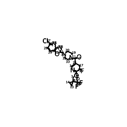 O=C(C1=CN=C(OCC2(C(F)(F)F)CC2)C(F)C1)N1CCN(c2nc3nc(Cl)ccc3o2)CC1